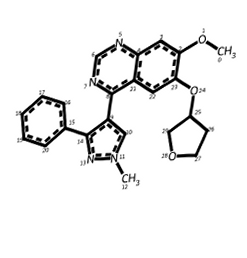 COc1cc2ncnc(-c3cn(C)nc3-c3ccccc3)c2cc1OC1CCOC1